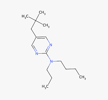 CCCCN(CCC)c1ncc(CC(C)(C)C)cn1